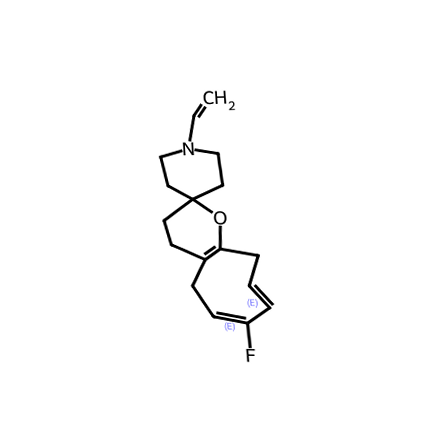 C=CN1CCC2(CCC3=C(C/C=C/C(F)=C\C3)O2)CC1